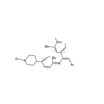 C=C(C)\C(=C/C(=C\C)C(=C/C(C)=O)/N=C(/C=C\C(=C/C)C1CCN(CC)CC1)C(C)CC)C(C)CC